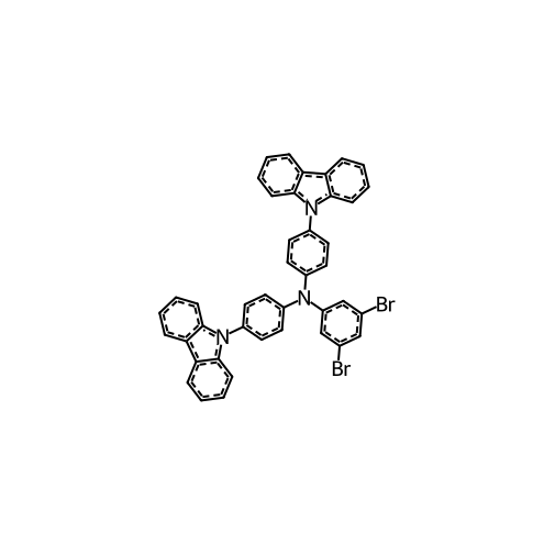 Brc1cc(Br)cc(N(c2ccc(-n3c4ccccc4c4ccccc43)cc2)c2ccc(-n3c4ccccc4c4ccccc43)cc2)c1